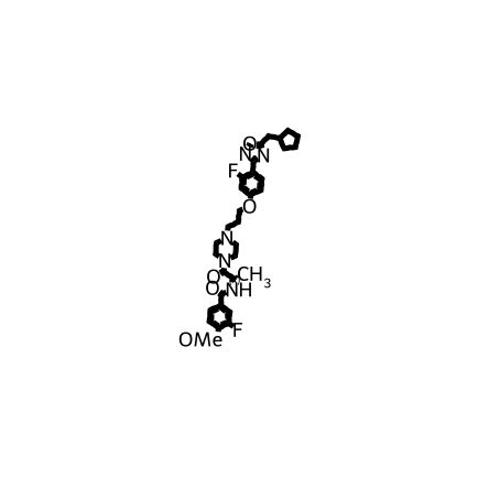 COc1ccc(C(=O)N[C@H](C)C(=O)N2CCN(CCCOc3ccc(-c4noc(CC5CCCC5)n4)c(F)c3)CC2)cc1F